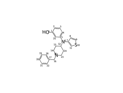 Oc1cccc(N(c2ccsc2)C2CCN(Cc3ccccc3)CC2)c1